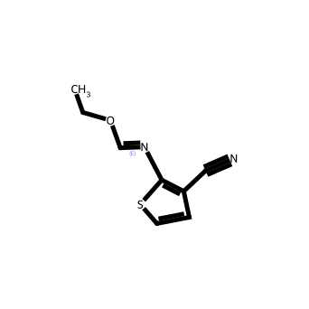 CCO/C=N/c1sccc1C#N